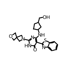 O=c1[nH]c(N2CC3(COC3)C2)nc(NC2CCC(CO)C2)c1-c1nc2ccccc2s1